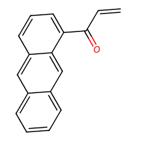 C=CC(=O)c1cccc2cc3ccccc3cc12